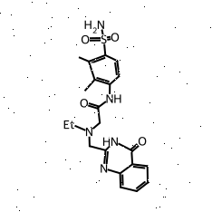 CCN(CC(=O)Nc1ccc(S(N)(=O)=O)c(C)c1C)Cc1nc2ccccc2c(=O)[nH]1